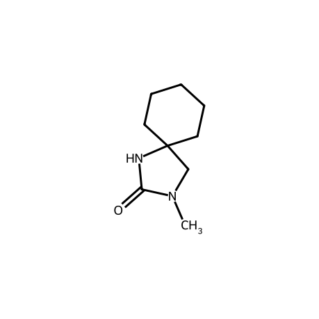 CN1CC2(CCCCC2)NC1=O